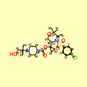 C[C@H]1N(S(=O)(=O)c2ccc(Cl)cc2)[C@@H](C2(OC(=O)N3CCN(C(C)(C)CO)CC3)CC2)COC1(C)C